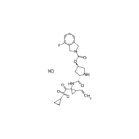 C=CC1CC1(NC(=O)[C@@H]1C[C@@H](OC(=O)N2Cc3cccc(F)c3C2)CN1)C(=O)S(=O)(=O)C1CC1.Cl